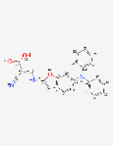 N#C/C(=C\Nc1cc2ccc(N(c3ccccc3)c3ccccc3)cc2o1)C(=O)O